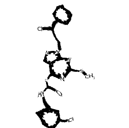 CSc1nc(OC(=O)Nc2cccc(Cl)c2)c2cnn(CC(Cl)c3ccccc3)c2n1